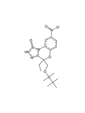 CCC1(CO[Si](C)(C)C(C)(C)C)Oc2ccc([N+](=O)[O-])cc2-n2c1n[nH]c2=O